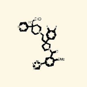 COc1ccc(-n2cnnn2)cc1C(=O)N1CCC(CCN2CCC(NC=O)(c3ccncc3)CC2)(c2ccc(F)c(F)c2)C1